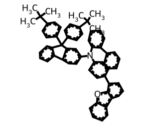 CC(C)(C)c1ccc(C2(c3ccc(C(C)(C)C)cc3)c3ccccc3-c3ccc(N(c4ccc(-c5cccc6c5oc5ccccc56)cc4)c4ccccc4-c4ccccc4)cc32)cc1